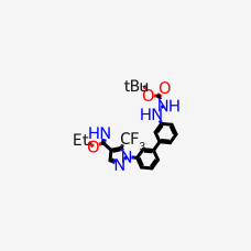 CCOC(=N)c1cnn(-c2cccc(-c3cccc(NNC(=O)OC(C)(C)C)c3)c2)c1C(F)(F)F